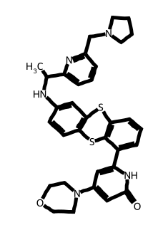 CC(Nc1ccc2c(c1)Sc1cccc(-c3cc(N4CCOCC4)cc(=O)[nH]3)c1S2)c1cccc(CN2CCCC2)n1